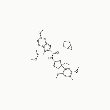 C1CC2CC2C1.CCC1(c2cc(OC)c(C)cc2OC)CSC(NC(=O)c2cc3cc(OC)ccc3n2CC(=O)OC)=N1